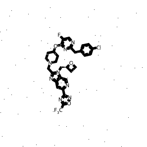 Fc1cnc(Cc2ccc(Cl)cc2)nc1OC1CCN(Cc2nc3cc(-c4noc(C(F)(F)F)n4)ncc3n2C[C@@H]2CCO2)CC1